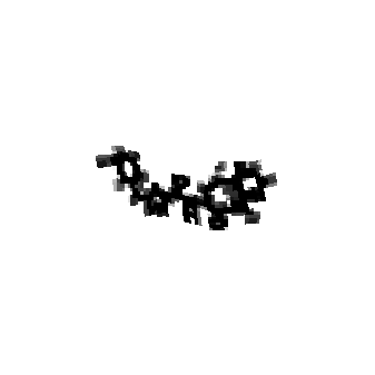 C[C@H]1C[C@H](NC(=O)c2nnc(Cc3ccccc3)s2)C(=O)N(C)c2nccnc21